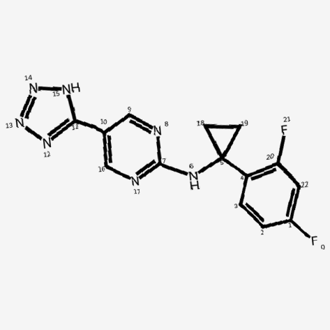 Fc1ccc(C2(Nc3ncc(-c4nnn[nH]4)cn3)CC2)c(F)c1